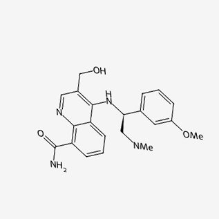 CNC[C@@H](Nc1c(CO)cnc2c(C(N)=O)cccc12)c1cccc(OC)c1